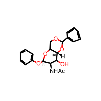 CC(=O)NC1C(O)[C@H]2OC(c3ccccc3)OCC2O[C@@H]1Oc1ccccc1